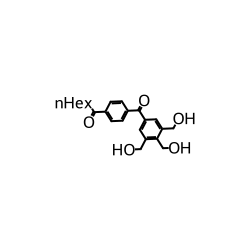 CCCCCCC(=O)c1ccc(C(=O)c2cc(CO)c(CO)c(CO)c2)cc1